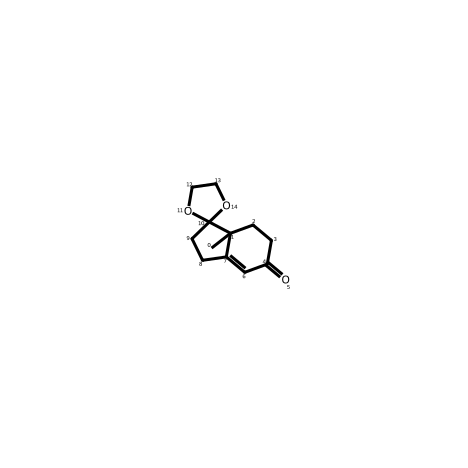 CC12CCC(=O)C=C1CCC21OCCO1